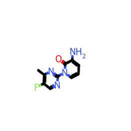 Cc1nc(-n2cccc(N)c2=O)ncc1F